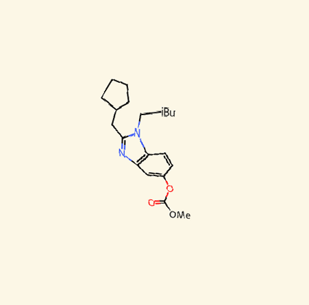 CCC(C)Cn1c(CC2CCCC2)nc2cc(OC(=O)OC)ccc21